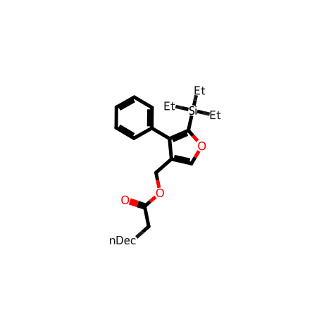 CCCCCCCCCCCC(=O)OCc1coc([Si](CC)(CC)CC)c1-c1ccccc1